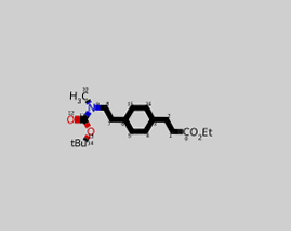 CCOC(=O)CCC1CCC(CCN(C)C(=O)OC(C)(C)C)CC1